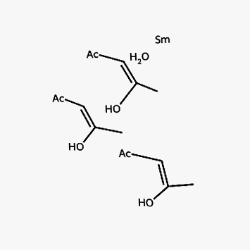 CC(=O)/C=C(/C)O.CC(=O)/C=C(/C)O.CC(=O)/C=C(/C)O.O.[Sm]